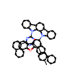 Cc1ccc(-c2cc(-n3c4ccccc4c4ccc5c6ccccc6n(-c6nc(-c7ccc(-c8ccccc8)cc7)nc(-c7cccc8ccccc78)n6)c5c43)cc3c2oc2ccccc23)cc1